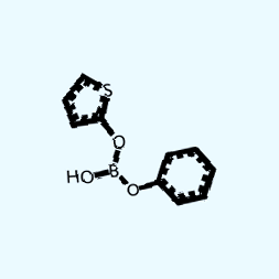 OB(Oc1ccccc1)Oc1cccs1